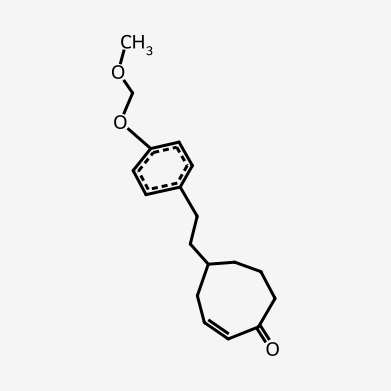 COCOc1ccc(CCC2CC=CC(=O)CCC2)cc1